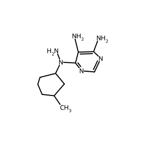 CC1CCCC(N(N)c2ncnc(N)c2N)C1